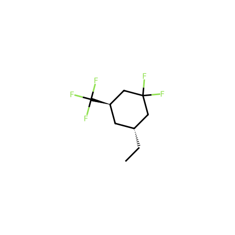 CC[C@@H]1C[C@@H](C(F)(F)F)CC(F)(F)C1